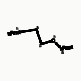 [CH2]CCCCCCOCCCCC